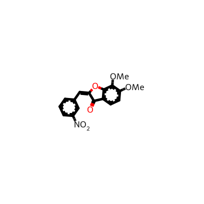 COc1ccc2c(c1OC)O/C(=C/c1cccc([N+](=O)[O-])c1)C2=O